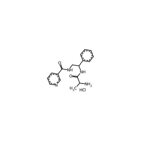 CC(N)C(=O)NC(CNC(=O)c1cccnc1)c1ccccc1.Cl